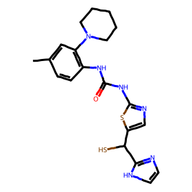 Cc1ccc(NC(=O)Nc2ncc(C(S)c3ncc[nH]3)s2)c(N2CCCCC2)c1